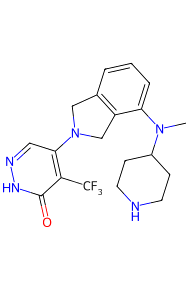 CN(c1cccc2c1CN(c1cn[nH]c(=O)c1C(F)(F)F)C2)C1CCNCC1